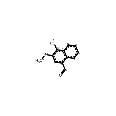 CSc1cc(C=O)c2ccccc2c1O